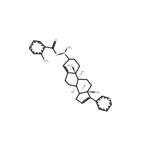 Cc1ccccc1C(=O)ON(C)C1C=C2CC[C@H]3[C@H](CC[C@]4(C)C(c5cccnc5)=CC[C@@H]34)[C@@]2(C)CC1